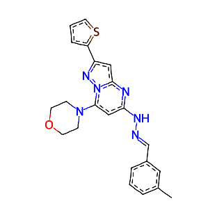 Cc1cccc(C=NNc2cc(N3CCOCC3)n3nc(-c4cccs4)cc3n2)c1